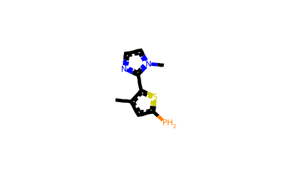 Cc1cc(P)sc1-c1nccn1C